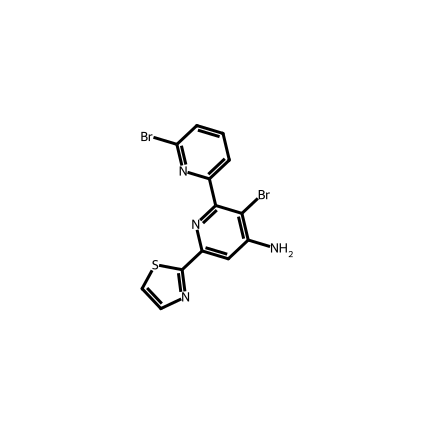 Nc1cc(-c2nccs2)nc(-c2cccc(Br)n2)c1Br